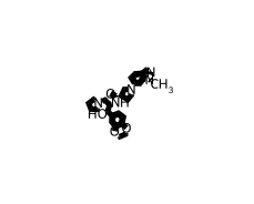 Cn1ncc2ccc(N3CC[C@H](C(=O)NC(CN4CCCC4)C(O)c4ccc5c(c4)OCCO5)C3)cc21